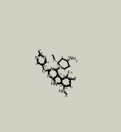 CC[C@@H]1C[C@@H](N)CCN1c1nc(Oc2cnc(C)nc2)nc2[nH]c3c(NC)cc(F)c(F)c3c12